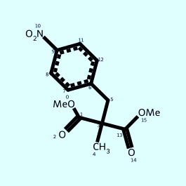 COC(=O)C(C)(Cc1ccc([N+](=O)[O-])cc1)C(=O)OC